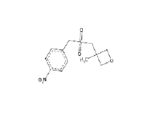 CC1(CS(=O)(=O)Cc2ccc([N+](=O)[O-])cc2)COC1